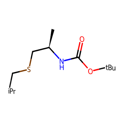 CC(C)CSC[C@@H](C)NC(=O)OC(C)(C)C